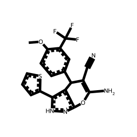 COc1ccc(C2C(C#N)=C(N)Oc3n[nH]c(-c4cccs4)c32)cc1C(F)(F)F